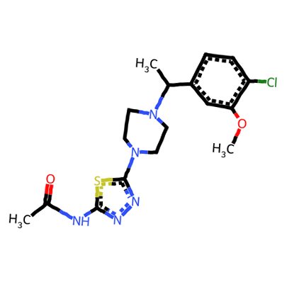 COc1cc(C(C)N2CCN(c3nnc(NC(C)=O)s3)CC2)ccc1Cl